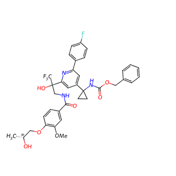 COc1cc(C(=O)NCC(O)(c2cc(C3(NC(=O)OCc4ccccc4)CC3)cc(-c3ccc(F)cc3)n2)C(F)(F)F)ccc1OC[C@@H](C)O